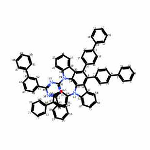 c1ccc(-c2ccc(-c3c(-c4ccc(-c5ccccc5)cc4)c4c5ccccc5n(-c5nc(-c6ccccc6)nc(-c6cccc(-c7ccccc7)c6)n5)c4c4c3c3ccccc3n4-c3ccc(-c4ccccc4)cc3)cc2)cc1